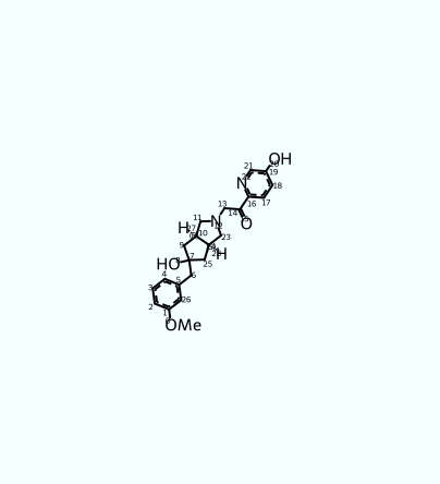 COc1cccc(CC2(O)C[C@H]3CN(CC(=O)c4ccc(O)cn4)C[C@H]3C2)c1